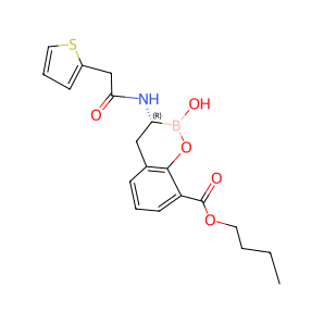 CCCCOC(=O)c1cccc2c1OB(O)[C@@H](NC(=O)Cc1cccs1)C2